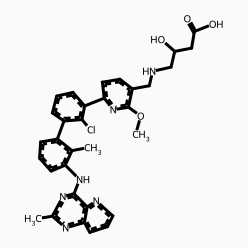 COc1nc(-c2cccc(-c3cccc(Nc4nc(C)nc5cccnc45)c3C)c2Cl)ccc1CNCC(O)CC(=O)O